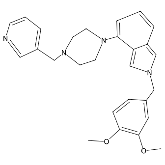 COc1ccc(Cn2cc3cccc(N4CCN(Cc5cccnc5)CC4)c3c2)cc1OC